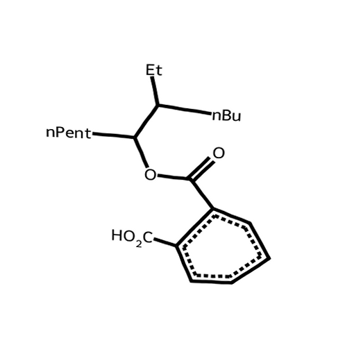 CCCCCC(OC(=O)c1ccccc1C(=O)O)C(CC)CCCC